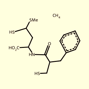 C.CSC(S)CC(NC(=O)C(CS)Cc1ccccc1)C(=O)O